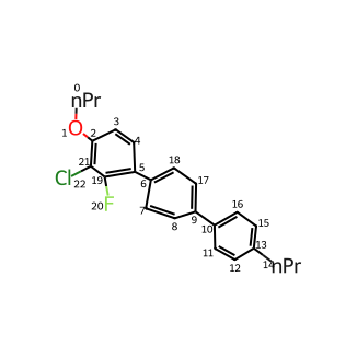 CCCOc1ccc(-c2ccc(-c3ccc(CCC)cc3)cc2)c(F)c1Cl